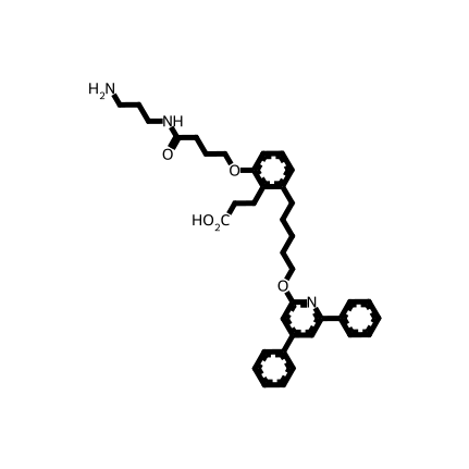 NCCCNC(=O)CCCOc1cccc(CCCCCOc2cc(-c3ccccc3)cc(-c3ccccc3)n2)c1CCC(=O)O